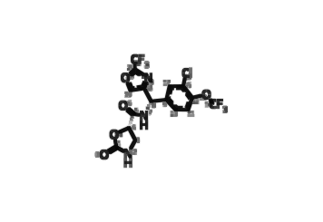 O=C1NC[C@@H](C(=O)N[C@@H](c2ccc(OC(F)(F)F)c(Cl)c2)c2coc(C(F)(F)F)n2)O1